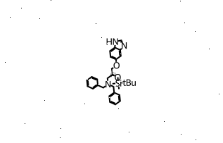 CC(C)(C)[Si](C)(C)O[C@H](COc1ccc2[nH]cnc2c1)CN(Cc1ccccc1)Cc1ccccc1